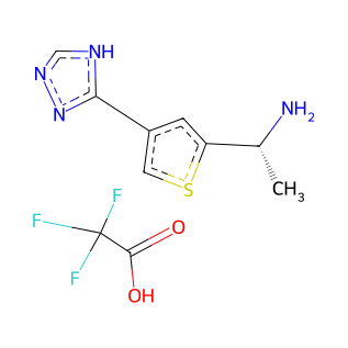 C[C@@H](N)c1cc(-c2nnc[nH]2)cs1.O=C(O)C(F)(F)F